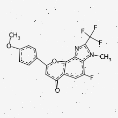 COc1ccc(-c2cc(=O)c3cc(F)c4c(nc(C(F)(F)F)n4C)c3o2)cc1